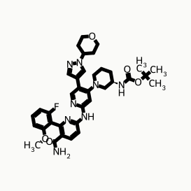 COc1cccc(F)c1-c1nc(Nc2cc(N3CCC[C@H](NC(=O)OC(C)(C)C)C3)c(-c3cnn(C4CCOCC4)c3)cn2)ccc1C(N)=O